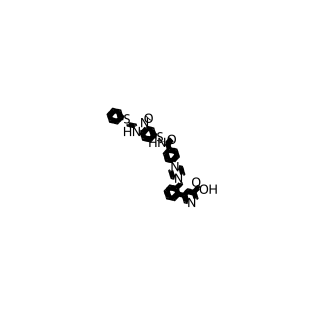 O=Nc1cc(SNC(=O)c2ccc(N3CCN(Cc4ccccc4-c4cncc(C(=O)O)c4)CC3)cc2)ccc1NCCSc1ccccc1